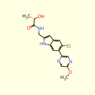 COc1cnc(-c2cc3[nH]c(CNC(=O)[C@H](C)O)cc3cc2Cl)cn1